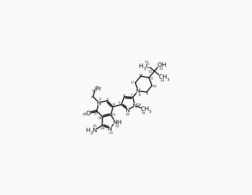 CC(C)Cn1cc(-c2cc(N3CCC(C(C)(C)O)CC3)n(C)n2)c2[nH]nc(N)c2c1=O